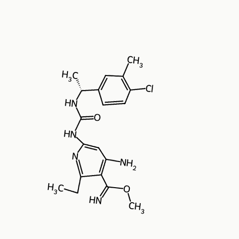 CCc1nc(NC(=O)N[C@H](C)c2ccc(Cl)c(C)c2)cc(N)c1C(=N)OC